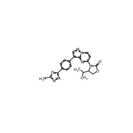 CC(C)C1COC(=O)N1c1ccn2ncc(-c3ccc(-c4nnc(N)o4)cc3)c2n1